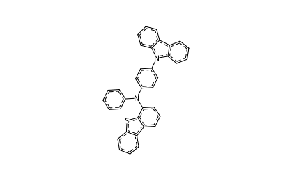 c1ccc(N(c2ccc(-n3c4ccccc4c4ccccc43)cc2)c2cccc3c2sc2ccccc23)cc1